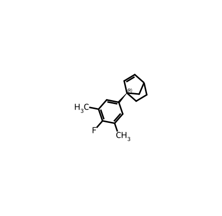 Cc1cc([C@]23C=CC(CC2)C3)cc(C)c1F